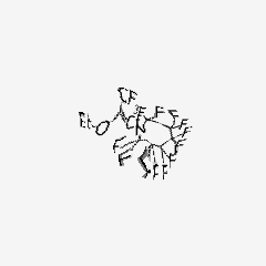 CCO/[C](=[Cf]\[N]1C(F)(F)C(F)(F)C(F)(F)C(F)(F)C(F)(F)C1(F)F)C(F)(F)F